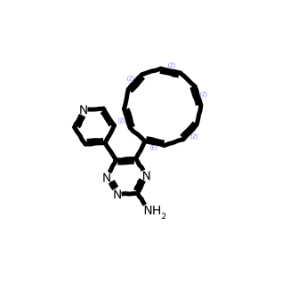 Nc1nnc(-c2ccncc2)c(C2=C/C=C\C=C/C=C\C=C/C=C\2)n1